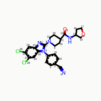 N#Cc1ccc(-n2c(N3CCC(C(=O)NC4CCOC4)CC3)nc3cc(Cl)c(Cl)cc32)cc1